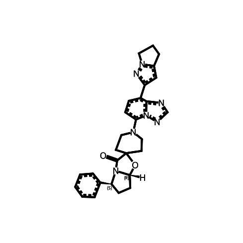 O=C1N2[C@@H](CC[C@H]2c2ccccc2)OC12CCN(c1ccc(-c3cc4n(n3)CCC4)c3ncnn13)CC2